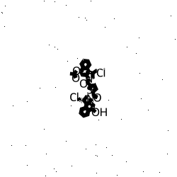 CC(=O)Oc1cc2c(c3ccccc13)C(CCl)CN2C(=O)c1ccc(C(=O)N2C[C@@H](CCl)c3c2cc(O)c2ccccc32)s1